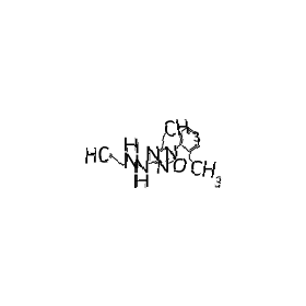 C#CCNNc1nc(CC)n(-c2ccccc2CC)c(=O)n1